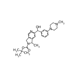 CC1c2cc(C(O)c3cccc(N4CCN(C)CC4)c3)ncc2CN1C(=O)OC(C)(C)C